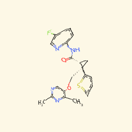 Cc1ncc(OC[C@@]2(c3cccs3)C[C@H]2C(=O)Nc2ccc(F)cn2)c(C)n1